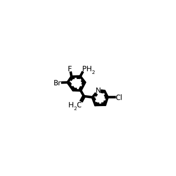 C=C(c1cc(P)c(F)c(Br)c1)c1ccc(Cl)cn1